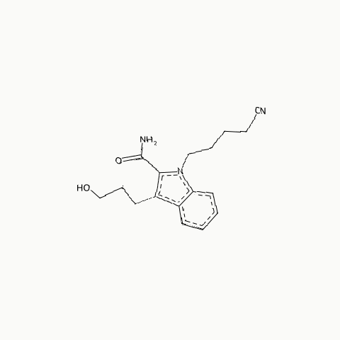 N#CCCCCn1c(C(N)=O)c(C[CH]CO)c2ccccc21